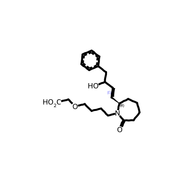 O=C(O)COCCCCN1C(=O)CCCC[C@@H]1/C=C/C(O)Cc1ccccc1